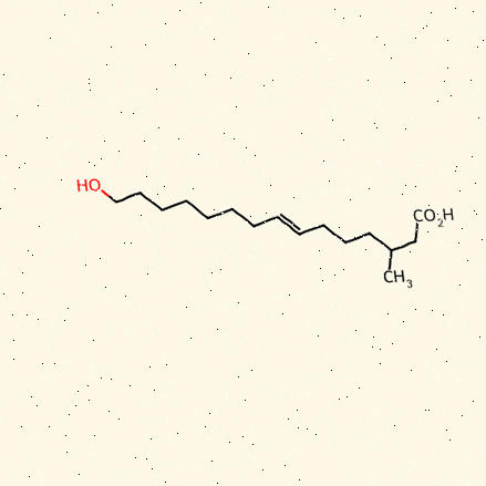 CC(CCCC=CCCCCCCCO)CC(=O)O